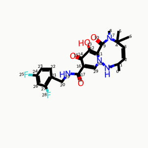 CC1/C=C\C(C)(C)N(C)C(=O)c2c(O)c(=O)c(C(=O)NCc3ccc(F)cc3F)cn2N1